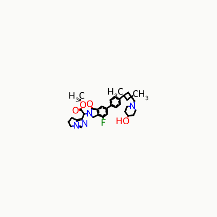 CCOC(=O)C(c1ncn2c1CCC2)N1Cc2c(F)cc(-c3ccc(C4(C)CC(C)(CN5CCC(O)CC5)C4)cc3)cc2C1=O